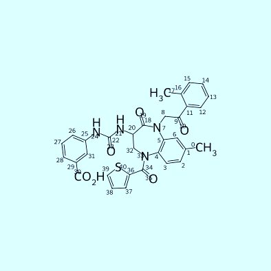 Cc1ccc2c(c1)N(CC(=O)c1ccccc1C)C(=O)C(NC(=O)Nc1cccc(C(=O)O)c1)CN2C(=O)c1cccs1